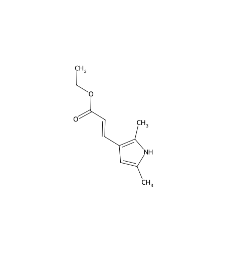 CCOC(=O)C=Cc1cc(C)[nH]c1C